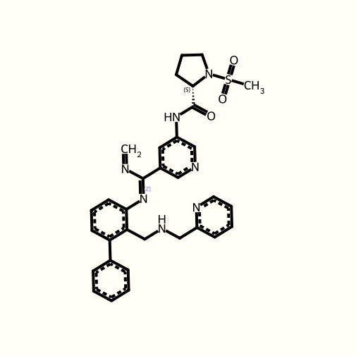 C=N/C(=N\c1cccc(-c2ccccc2)c1CNCc1ccccn1)c1cncc(NC(=O)[C@@H]2CCCN2S(C)(=O)=O)c1